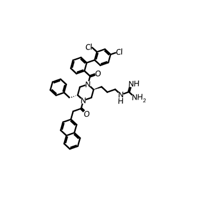 N=C(N)NCCC[C@H]1CN(C(=O)Cc2ccc3ccccc3c2)[C@H](Cc2ccccc2)CN1C(=O)c1ccccc1-c1ccc(Cl)cc1Cl